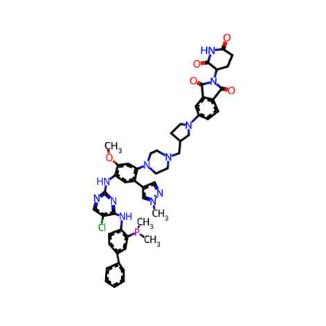 COc1cc(N2CCN(CC3CCN(c4ccc5c(c4)C(=O)N(C4CCC(=O)NC4=O)C5=O)C3)CC2)c(-c2cnn(C)c2)cc1Nc1ncc(Cl)c(Nc2ccc(-c3ccccc3)cc2P(C)C)n1